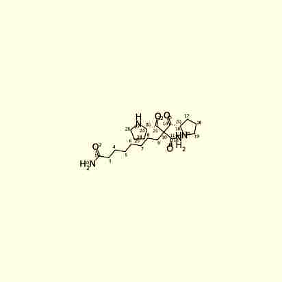 NC(=O)CCCCCCCC(C(N)=O)(C(=O)[C@@H]1CCCN1)C(=O)[C@@H]1CCCN1